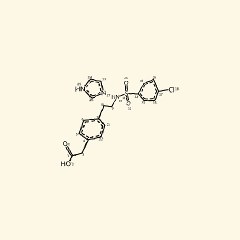 O=C(O)Cc1ccc(CCNS(=O)(=O)c2ccc(Cl)cc2)cc1.c1c[nH]cn1